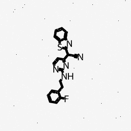 N#CC(c1ccnc(NCCc2ccccc2F)n1)c1nc2ccccc2s1